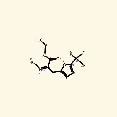 CCOC(=O)/C(Cc1ccc(C(F)(F)F)o1)=N\O